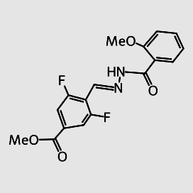 COC(=O)c1cc(F)c(/C=N/NC(=O)c2ccccc2OC)c(F)c1